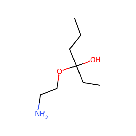 CCCC(O)(CC)OCCN